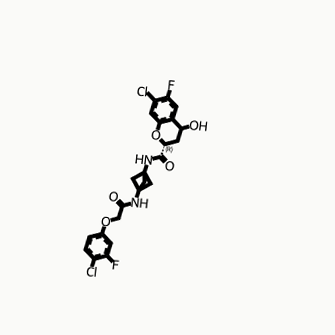 O=C(COc1ccc(Cl)c(F)c1)NC12CC(NC(=O)[C@H]3CC(O)c4cc(F)c(Cl)cc4O3)(C1)C2